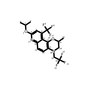 CC(C)Oc1cc(C(F)(F)F)c2c3c(ccc2n1)N(CC(F)(F)F)CC(C)O3